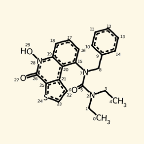 CCN(CC)C(=O)N(Cc1ccccc1)c1cccc2c1c1ccsc1c(=O)n2O